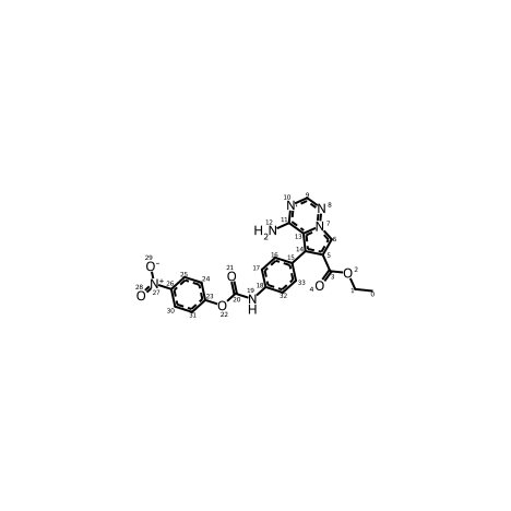 CCOC(=O)c1cn2ncnc(N)c2c1-c1ccc(NC(=O)Oc2ccc([N+](=O)[O-])cc2)cc1